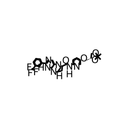 CC1(C)OC[C@@H](COc2ccc(NC(=O)C3C[C@H]4CN3C3=CN=C(c5cccc(C(F)(F)F)c5)NC3=N4)nc2)O1